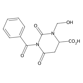 O=C(O)C1CC(=O)N(C(=O)c2ccccc2)C(=O)N1CO